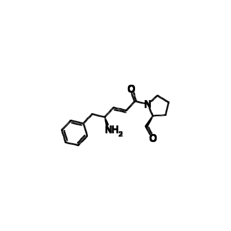 N[C@H](/C=C/C(=O)N1CCC[C@H]1C=O)Cc1ccccc1